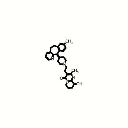 Cc1ccc2c(c1)CCc1cccnc1C2=C1CCN(CCc2c(C)nc3n(c2=O)CCCC3O)CC1